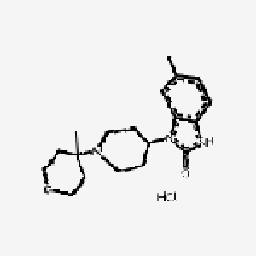 Cc1ccc2[nH]c(=O)n(C3CCN(C4(C)CCOCC4)CC3)c2c1.Cl